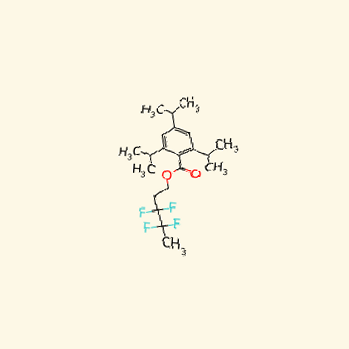 CC(C)c1cc(C(C)C)c(C(=O)OCCC(F)(F)C(C)(F)F)c(C(C)C)c1